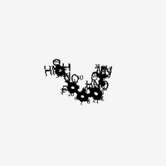 COc1cc(-c2cccc(-c3cccc(NC(=O)c4cncn(C)c4=O)c3C)c2C)cc(F)c1CN[C@@H]1CNC(=O)C1